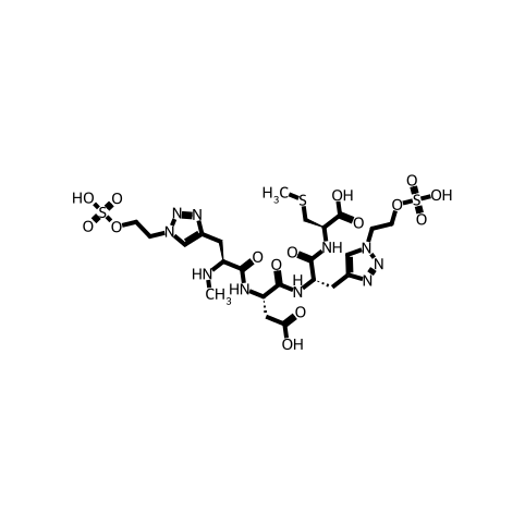 CN[C@@H](Cc1cn(CCOS(=O)(=O)O)nn1)C(=O)N[C@@H](CC(=O)O)C(=O)N[C@@H](Cc1cn(CCOS(=O)(=O)O)nn1)C(=O)N[C@@H](CSC)C(=O)O